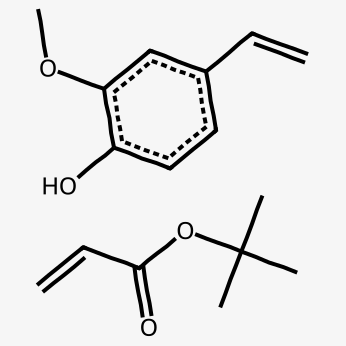 C=CC(=O)OC(C)(C)C.C=Cc1ccc(O)c(OC)c1